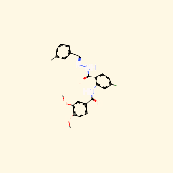 COc1ccc(C(=O)Nc2cc(Cl)ccc2C(=O)N/N=C/c2cccc(C)c2)cc1OC